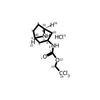 Cl.O=C(NC1C[C@H]2CC[C@@H](C1)N2)OCC(Cl)(Cl)Cl